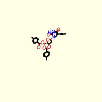 CC#Cc1cn([C@H]2C[C@H](OC(=O)c3ccc(C)cc3)[C@@H](COC(=O)c3ccc(C)cc3)O2)c(=O)[nH]c1=O